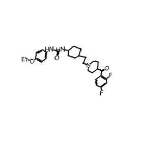 CCOc1ccc(NC(=O)NC2CCC(CCN3CCC(C(=O)c4ccc(F)cc4F)CC3)CC2)cc1